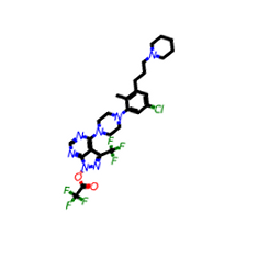 Cc1c(CCCN2CCCCC2)cc(Cl)cc1N1CCN(c2ncnc3c2c(C(F)(F)F)nn3OC(=O)C(F)(F)F)CC1